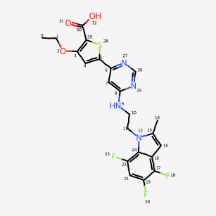 CCOc1cc(-c2cc(NCCn3c(C)cc4c(F)c(F)cc(F)c43)ncn2)sc1C(=O)O